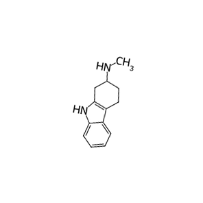 CNC1CCc2c([nH]c3ccccc23)C1